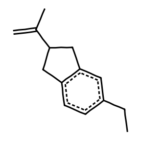 C=C(C)C1Cc2ccc(CC)cc2C1